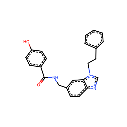 O=C(NCc1ccc2ncn(CCc3ccccc3)c2c1)c1ccc(O)cc1